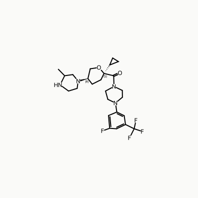 CC1CN([C@@H]2CC[C@@](C(=O)N3CCN(c4cc(F)cc(C(F)(F)F)c4)CC3)(C3CC3)OC2)CCN1